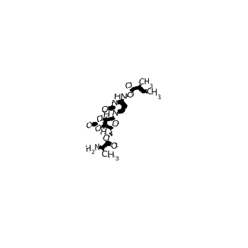 CC[C@H](C)C(=O)ONc1ccn([C@@H]2O[C@H](COC(=O)[C@@H](C)N)[C@H]3OC(=O)O[C@H]32)c(=O)n1